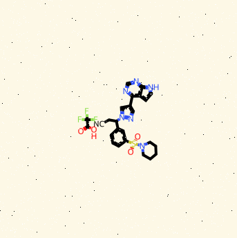 N#CCC(c1cccc(S(=O)(=O)N2CCCCC2)c1)n1cc(-c2ncnc3[nH]ccc23)cn1.O=C(O)C(F)(F)F